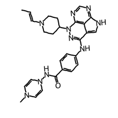 CC=CN1CCC(N2N=C(Nc3ccc(C(=O)NN4C=CN(C)C=C4)cc3)c3c[nH]c4ncnc2c34)CC1